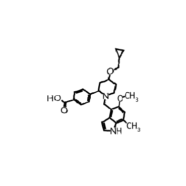 COc1cc(C)c2[nH]ccc2c1CN1CCC(OCC2CC2)CC1c1ccc(C(=O)O)cc1